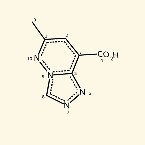 Cc1cc(C(=O)O)c2nncn2n1